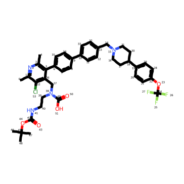 Cc1nc(C)c(-c2ccc(-c3ccc(CN4CCC(c5ccc(OC(F)(F)F)cc5)CC4)cc3)cc2)c(CN(CCNC(=O)OC(C)(C)C)C(=O)O)c1Cl